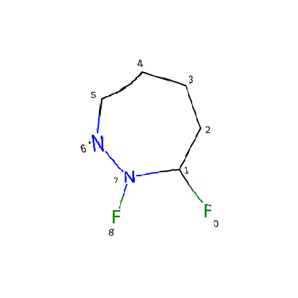 FC1CCCC[N]N1F